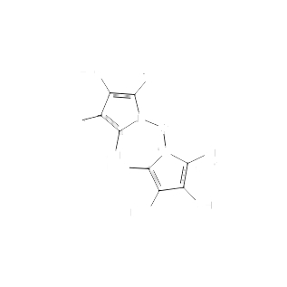 Cc1c(C)c(C)[p]([Zr][p]2c(C)c(C)c(C)c2C)c1C